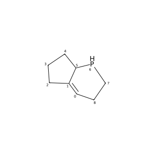 C1=C2CCCC2PCC1